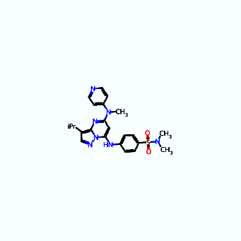 CC(C)c1cnn2c(Nc3ccc(S(=O)(=O)N(C)C)cc3)cc(N(C)c3ccncc3)nc12